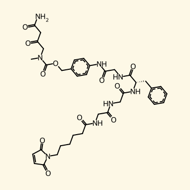 CN(CC(=O)CC(N)=O)C(=O)OCc1ccc(NC(=O)CNC(=O)[C@H](Cc2ccccc2)NC(=O)CNC(=O)CNC(=O)CCCCCN2C(=O)C=CC2=O)cc1